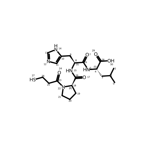 CC(C)C[C@H](NC(=O)[C@H](Cc1cnc[nH]1)NC(=O)[C@H]1CCCN1C(=O)CCS)C(=O)O